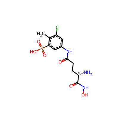 Cc1c(Cl)cc(NC(=O)CC[C@H](N)C(=O)NO)cc1S(=O)(=O)O